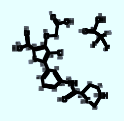 O=C(O)C(F)(F)F.O=C(O)COc1c(C(=O)O)sc(-c2cccc(NC(=O)C3CCNCC3)c2)c1Cl